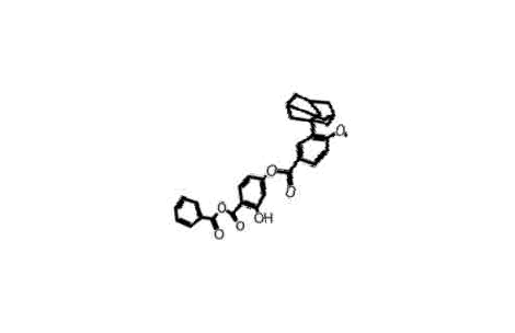 COc1ccc(C(=O)Oc2ccc(C(=O)OC(=O)c3ccccc3)c(O)c2)cc1C12CC3CC(CC(C3)C1)C2